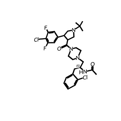 CC(=O)N[C@@H](Cc1ccccc1Cl)CN1CCN(C(=O)C2CN(C(C)(C)C)CC2c2cc(F)c(Cl)c(F)c2)CC1